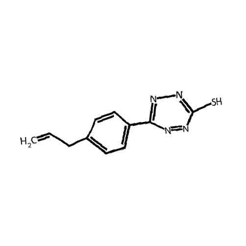 C=CCc1ccc(-c2nnc(S)nn2)cc1